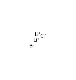 [Br-].[Cl-].[Li+].[Li+]